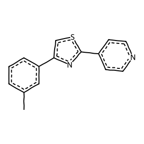 Cc1cccc(-c2csc(-c3ccncc3)n2)c1